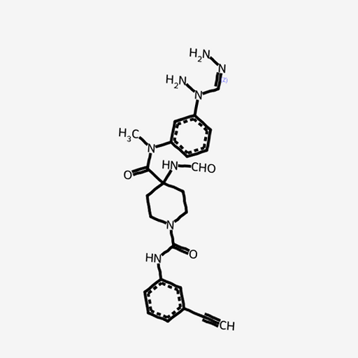 C#Cc1cccc(NC(=O)N2CCC(NC=O)(C(=O)N(C)c3cccc(N(N)/C=N\N)c3)CC2)c1